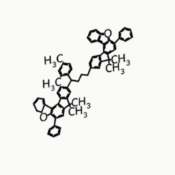 Cc1ccc(C(CCCc2ccc3c(c2)C(C)(C)c2cc(-c4ccccc4)c4oc5ccccc5c4c2-3)c2ccc3c(c2)C(C)(C)c2cc(-c4ccccc4)c4c(c2-3)C2=CC=CCC2O4)c(C)c1